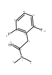 CN(C)C(=N)Cc1c(F)cccc1F